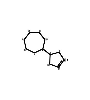 [C]1=NCC(C2CCCCCC2)C1